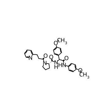 COc1ccc(NC(=O)[C@@H](NC(=O)[C@@H]2CCCN2C(=O)CCc2ccccn2)c2ccc(OC)cc2)cc1